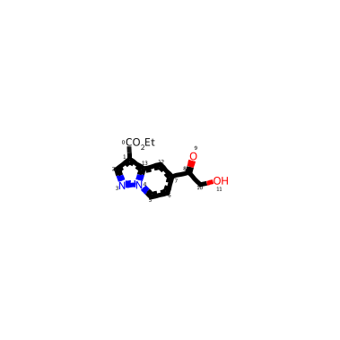 CCOC(=O)c1cnn2ccc(C(=O)CO)cc12